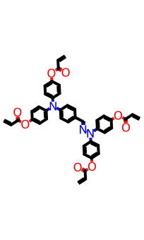 C=CC(=O)Oc1ccc(N(N=Cc2ccc(N(c3ccc(OC(=O)C=C)cc3)c3ccc(OC(=O)C=C)cc3)cc2)c2ccc(OC(=O)C=C)cc2)cc1